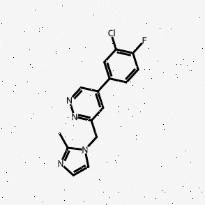 Cc1nccn1Cc1cc(-c2ccc(F)c(Cl)c2)cnn1